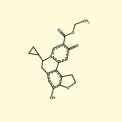 CCOC(=O)c1cn2c(cc1=O)-c1c(cc(O)c3c1CCO3)CC2C1CC1